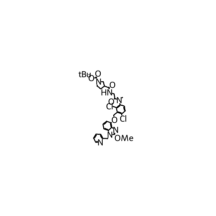 COc1nc2c(OCc3c(Cl)ccc(N(C)C(=O)CNC(=O)C4CCN(C(=O)OC(C)(C)C)C4)c3Cl)cccc2n1Cc1ccccn1